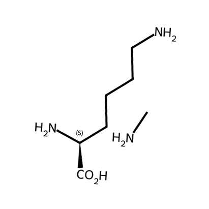 CN.NCCCC[C@H](N)C(=O)O